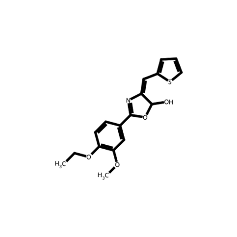 CCOc1ccc(C2=N/C(=C/c3cccs3)C(O)O2)cc1OC